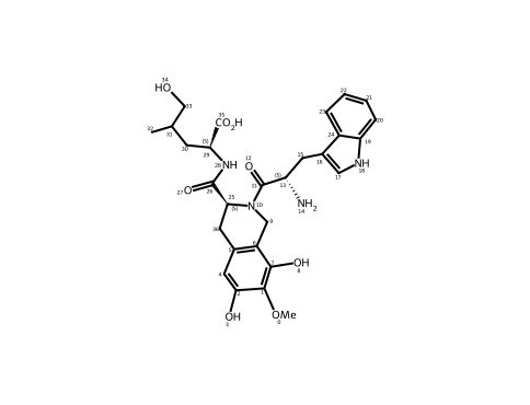 COc1c(O)cc2c(c1O)CN(C(=O)[C@@H](N)Cc1c[nH]c3ccccc13)[C@H](C(=O)N[C@@H](CC(C)CO)C(=O)O)C2